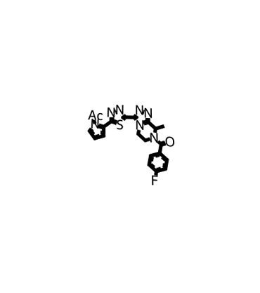 CC(=O)n1cccc1-c1nnc(-c2nnc3n2CCN(C(=O)c2ccc(F)cc2)C3C)s1